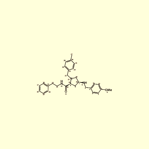 COc1ccc(CN[C@H]2C[C@@H](C(=O)NCCc3ccccc3)N(Cc3ccc(C)cc3)C2)cc1